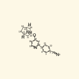 N#Cc1ccc(-c2cc(O[C@@H]3C[C@H]4CC[C@@H](C3)N4)ccn2)cc1